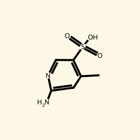 Cc1cc(N)ncc1S(=O)(=O)O